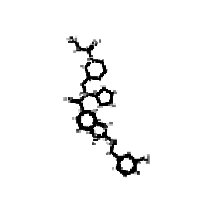 CC(C)(C)OC(=O)N1CCCC(CN(C(=O)c2ccc3oc(NCc4cccc(Cl)c4)nc3c2)C2CCCC2)C1